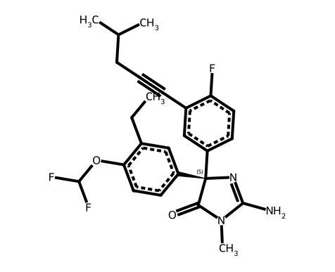 CCc1cc([C@@]2(c3ccc(F)c(C#CCC(C)C)c3)N=C(N)N(C)C2=O)ccc1OC(F)F